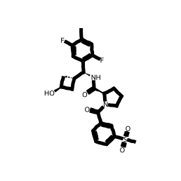 Cc1cc(F)c([C@H](NC(=O)[C@H]2CCCN2C(=O)c2cccc(S(C)(=O)=O)c2)[C@H]2C[C@H](O)C2)cc1F